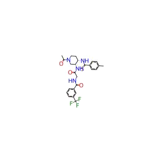 CC(=O)N1CC[C@H](NC(=S)c2ccc(C)cc2)[C@H](NC(=O)CNC(=O)c2cccc(C(F)(F)F)c2)C1